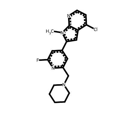 Cn1c(-c2cc(F)nc(CN3CCCCC3)c2)cc2c(Cl)ccnc21